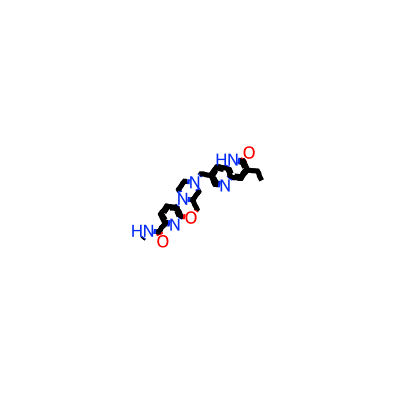 CCc1cc2ncc(CN3CCN4c5ccc(C(=O)NC)nc5OCC4C3)cc2[nH]c1=O